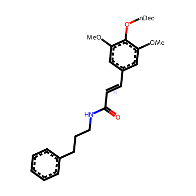 CCCCCCCCCCOc1c(OC)cc(/C=C/C(=O)NCCCc2ccccc2)cc1OC